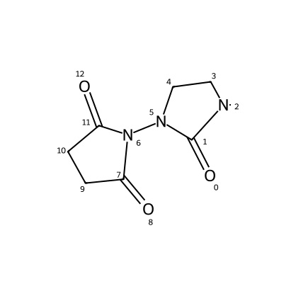 O=C1[N]CCN1N1C(=O)CCC1=O